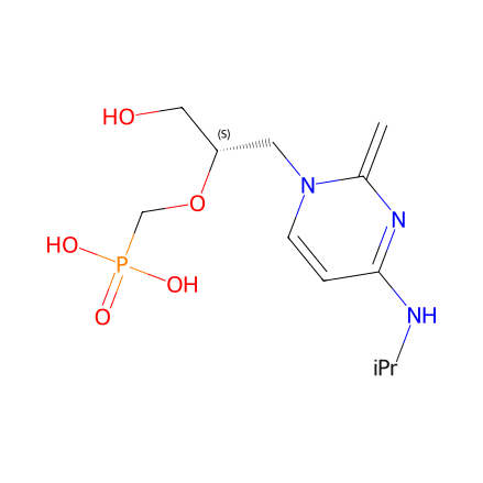 C=C1N=C(NC(C)C)C=CN1C[C@@H](CO)OCP(=O)(O)O